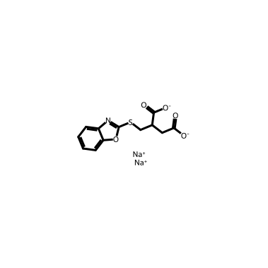 O=C([O-])CC(CSc1nc2ccccc2o1)C(=O)[O-].[Na+].[Na+]